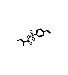 C=Cc1ccc(S(=O)(=O)OC(=O)C(C)=CC)cc1